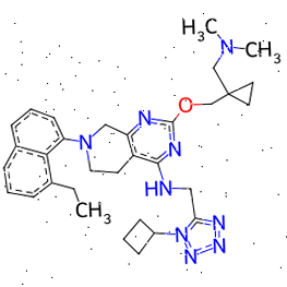 CCc1cccc2cccc(N3CCc4c(nc(OCC5(CN(C)C)CC5)nc4NCc4nnnn4C4CCC4)C3)c12